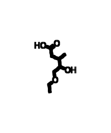 CCOCC(O)C(C)CC(=O)O